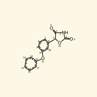 O=C1NC(=O)C(c2cccc(Oc3ccccc3)c2)O1